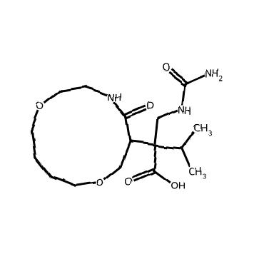 CC(C)C(CNC(N)=O)(C(=O)O)C1COCCCCOCCNC1=O